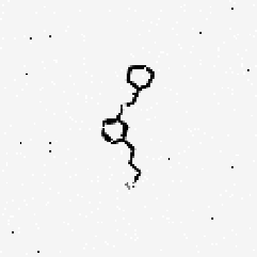 CCCCc1cccc(OCC2CCCCC2)c1